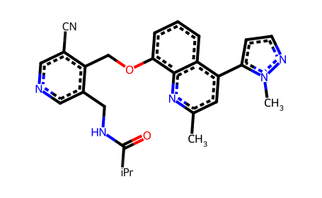 Cc1cc(-c2ccnn2C)c2cccc(OCc3c(C#N)cncc3CNC(=O)C(C)C)c2n1